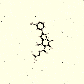 Cn1c(=O)c(C(=O)NCC(=O)O)c(O)c2cc(-c3cccc(O)c3)nn21